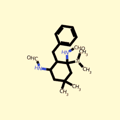 [CH3][Ti]([CH3])[C]1(NC=O)CC(C)(C)CC(NC=O)C1Cc1ccccc1